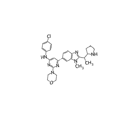 CC(c1nc2ccc(-c3cc(Nc4ccc(Cl)cc4)nc(N4CCOCC4)n3)cc2n1C)C1CCCN1